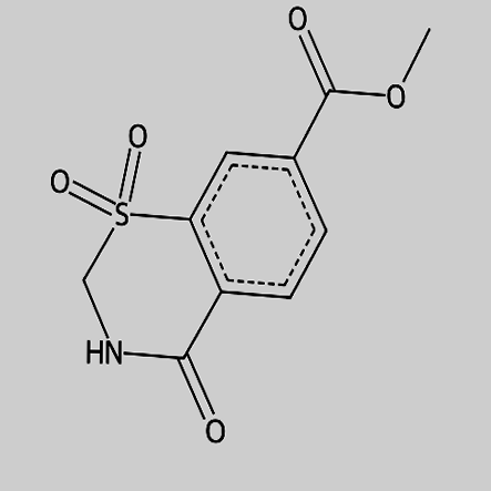 COC(=O)c1ccc2c(c1)S(=O)(=O)CNC2=O